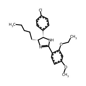 CCCCC[C@H]1N=C(c2ccc(OC)cc2OCC)N[C@H]1c1ccc(Cl)cc1